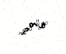 O=C(NCCc1cccc(Oc2ccnc(C3=NCCN3)c2)c1)c1ccc(Cl)cc1